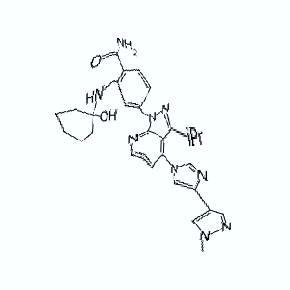 CC(C)c1nn(-c2ccc(C(N)=O)c(NC3(O)CCCCC3)c2)c2nccc(-n3cnc(-c4cnn(C)c4)c3)c12